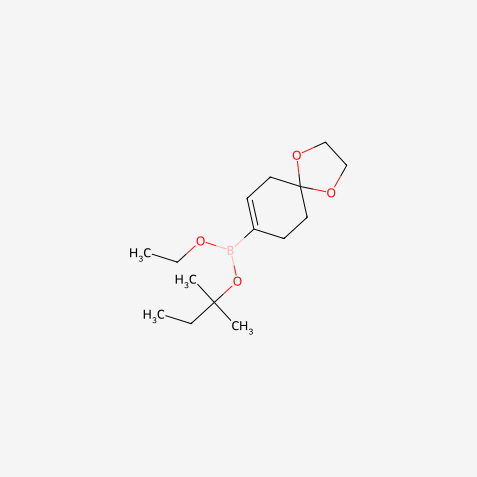 CCOB(OC(C)(C)CC)C1=CCC2(CC1)OCCO2